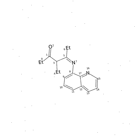 CCC(=O)C(CC)/C(CC)=N\c1cccc2cccnc12